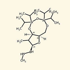 CNB[C@@H]1O[C@@H]2CO[Si](C(C)C)(C(C)C)O[Si](C(C)C)(C(C)C)O[C@@H]2C1C